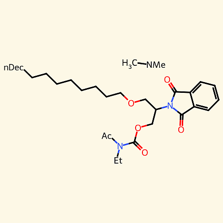 CCCCCCCCCCCCCCCCCCOCC(COC(=O)N(CC)C(C)=O)N1C(=O)c2ccccc2C1=O.CNC